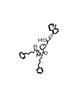 O=C(NCCCCc1ccccc1)C1CN(CC(O)COc2cccc3ncccc23)CC[C@H]1C(=O)NCCCCc1ccccc1